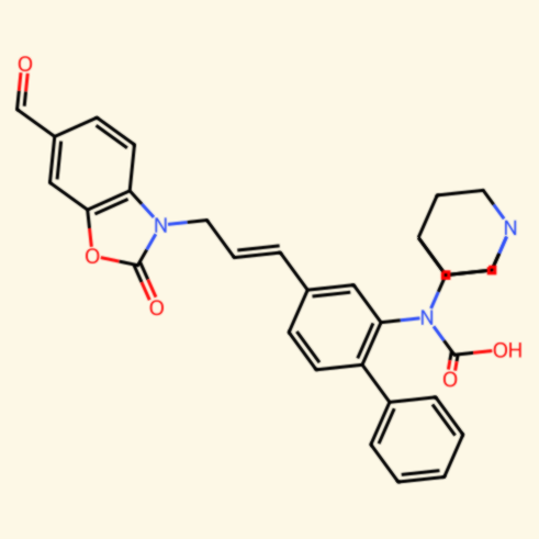 O=Cc1ccc2c(c1)oc(=O)n2CC=Cc1ccc(-c2ccccc2)c(N(C(=O)O)C2CN3CCC2CC3)c1